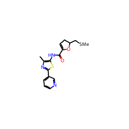 CSCC1CC=C(C(=O)Nc2sc(-c3cccnc3)nc2C)O1